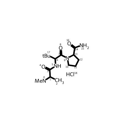 CNC(C)C(=O)NC(C(=O)N1CCCC1C(N)=O)C(C)(C)C.Cl